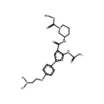 CCN(CC)CCOc1ccc(-c2cc(C(=O)N[C@@H]3CCCN(C(=O)OC(C)(C)C)C3)c(NC(N)=O)s2)cc1